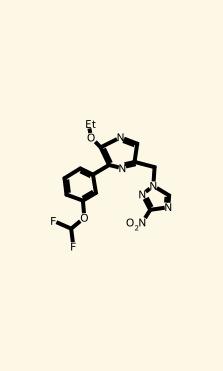 CCOc1ncc(Cn2cnc([N+](=O)[O-])n2)nc1-c1cccc(OC(F)F)c1